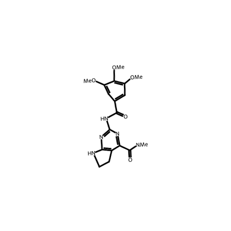 CNC(=O)c1nc(NC(=O)c2cc(OC)c(OC)c(OC)c2)nc2c1CCN2